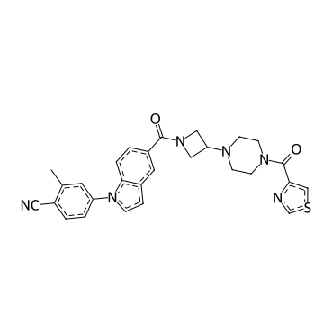 Cc1cc(-n2ccc3cc(C(=O)N4CC(N5CCN(C(=O)c6cscn6)CC5)C4)ccc32)ccc1C#N